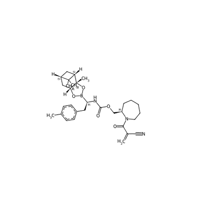 C=C(C#N)C(=O)N1CCCCC[C@@H]1COC(=O)N[C@@H](Cc1ccc(C)cc1)B1O[C@@H]2C[C@@H]3C[C@@H](C3(C)C)[C@]2(C)O1